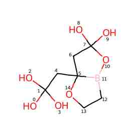 OC(O)(O)CC12CC(O)(O)OB1CCO2